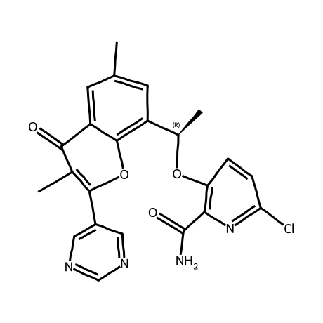 Cc1cc([C@@H](C)Oc2ccc(Cl)nc2C(N)=O)c2oc(-c3cncnc3)c(C)c(=O)c2c1